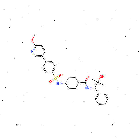 COc1ccc(-c2ccc(S(=O)(=O)N[C@H]3CC[C@H](C(=O)N[C@@H](c4ccccc4)C(C)(C)O)CC3)cc2)cn1